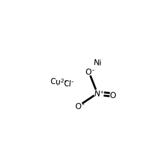 O=[N+]([O-])[O-].[Cl-].[Cu+2].[Ni]